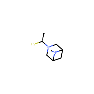 C[C@H](S)N1CC2CC(C1)N2C